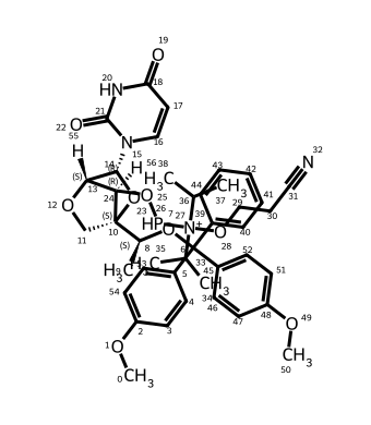 COc1ccc(C(O[C@@H](C)[C@]23CO[C@H]([C@H](n4ccc(=O)[nH]c4=O)O2)[C@H]3OP[N+](OCCC#N)(C(C)C)C(C)C)(c2ccccc2)c2ccc(OC)cc2)cc1